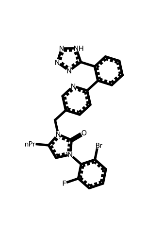 CCCc1cn(-c2c(F)cccc2Br)c(=O)n1Cc1ccc(-c2ccccc2-c2nnn[nH]2)nc1